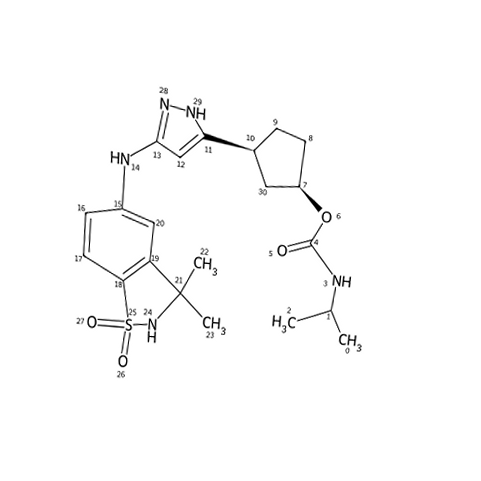 CC(C)NC(=O)O[C@@H]1CC[C@H](c2cc(Nc3ccc4c(c3)C(C)(C)NS4(=O)=O)n[nH]2)C1